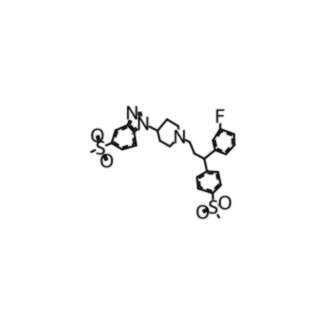 CS(=O)(=O)c1ccc(C(CCN2CCC(n3cnc4cc(S(C)(=O)=O)ccc43)CC2)c2cccc(F)c2)cc1